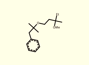 CCC(C)(CCOC(C)(C)Cc1ccccc1)OC